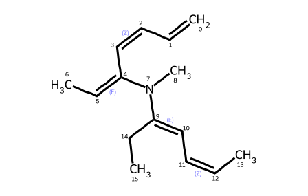 C=C/C=C\C(=C/C)N(C)/C(=C/C=C\C)CC